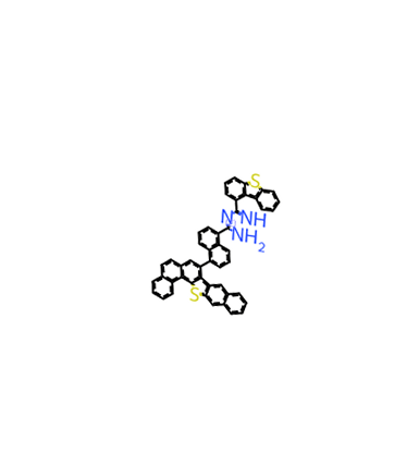 N=C(/N=C(\N)c1cccc2c(-c3cc4ccc5ccccc5c4c4sc5cc6ccccc6cc5c34)cccc12)c1cccc2sc3ccccc3c12